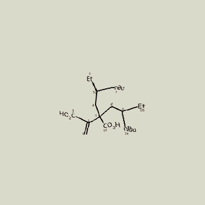 C=C(C(=O)O)C(CC(CC)CCCC)(CC(CC)CCCC)C(=O)O